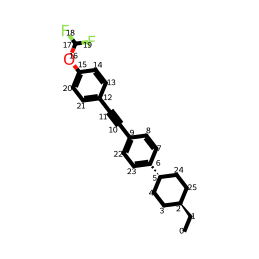 CC[C@H]1CC[C@H](c2ccc(C#Cc3ccc(OC(F)F)cc3)cc2)CC1